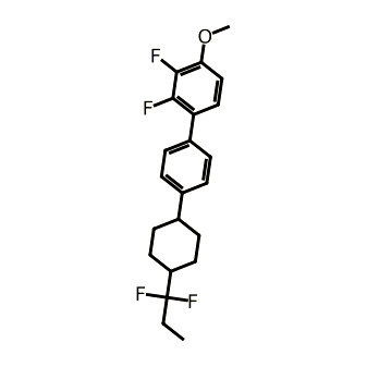 CCC(F)(F)C1CCC(c2ccc(-c3ccc(OC)c(F)c3F)cc2)CC1